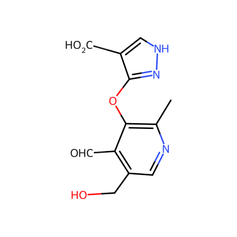 Cc1ncc(CO)c(C=O)c1Oc1n[nH]cc1C(=O)O